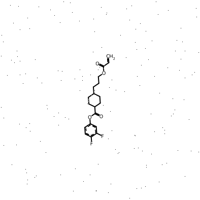 C=CC(=O)OCCCC1CCC(C(=O)Oc2ccc(F)c(F)c2)CC1